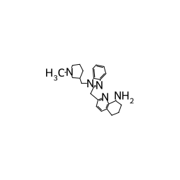 CN1CCCC(Cn2c(Cc3ccc4c(n3)C(N)CCC4)nc3ccccc32)C1